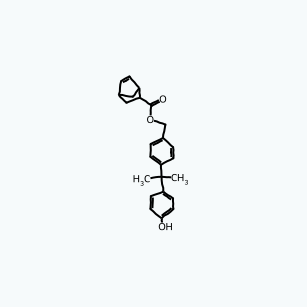 CC(C)(c1ccc(O)cc1)c1ccc(COC(=O)C2CC3C=CC2C3)cc1